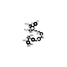 Cc1sc2c(c1C)C(c1ccc(Cl)cc1)=N[C@@H](CCNCC1CCN(C(=O)C3CCN(Cc4ccc(-n5c(O)nnc5-c5cc(C(C)C)c(O)cc5O)cc4)CC3)C1)c1nnc(C)n1-2